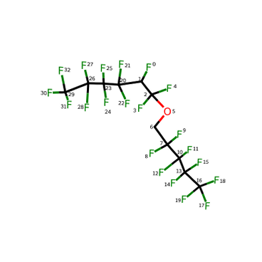 FC(C(F)(F)OCC(F)(F)C(F)(F)C(F)(F)C(F)(F)F)C(F)(F)C(F)(F)C(F)(F)C(F)(F)F